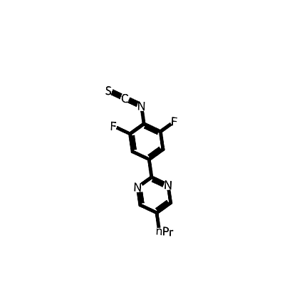 CCCc1cnc(-c2cc(F)c(N=C=S)c(F)c2)nc1